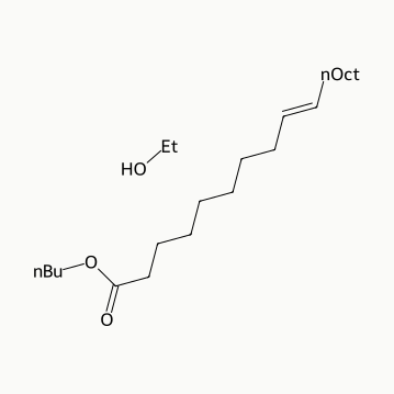 CCCCCCCCC=CCCCCCCCC(=O)OCCCC.CCO